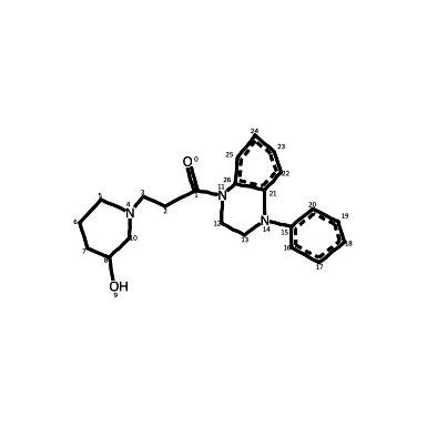 O=C(CCN1CCCC(O)C1)N1CCN(c2ccccc2)c2ccccc21